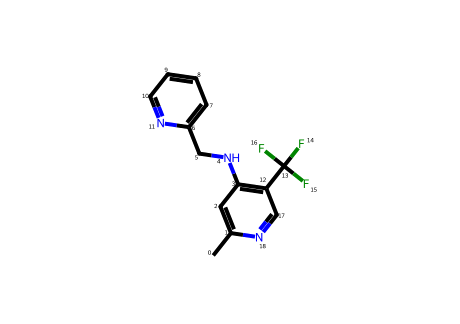 Cc1cc(NCc2ccccn2)c(C(F)(F)F)cn1